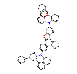 Fc1cc(-c2ccccc2)cc(-c2ccccc2)c1N(c1ccccc1)c1ccc2c(c1)c1ccccc1c1c3ccc(N(c4ccccc4-c4ccccc4)c4cccc5c4oc4ccccc45)cc3oc21